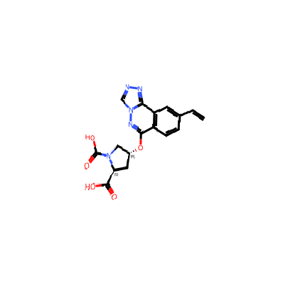 C=Cc1ccc2c(O[C@@H]3C[C@@H](C(=O)O)N(C(=O)O)C3)nn3cnnc3c2c1